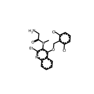 CCc1nc2ccccc2c(OCc2c(Cl)cccc2Cl)c1N(C)C(=O)CN